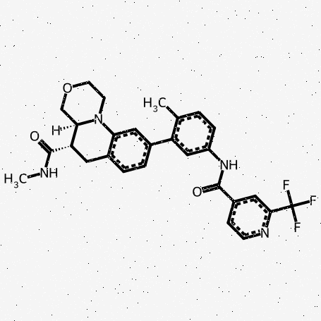 CNC(=O)[C@H]1Cc2ccc(-c3cc(NC(=O)c4ccnc(C(F)(F)F)c4)ccc3C)cc2N2CCOC[C@H]12